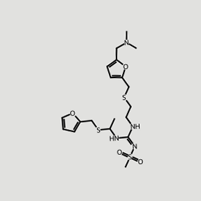 CC(N/C(=N\S(C)(=O)=O)NCCSCc1ccc(CN(C)C)o1)SCc1ccco1